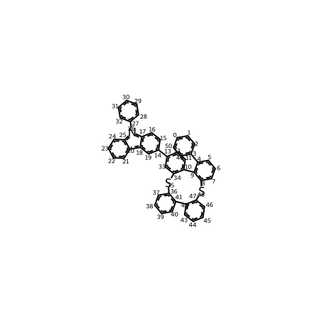 c1ccc(-c2cccc3c2-c2ccc(-c4ccc5c(c4)c4ccccc4n5-c4ccccc4)cc2Sc2ccccc2-c2ccccc2S3)cc1